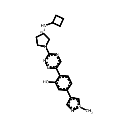 Cn1cc(-c2ccc(-c3cnc(N4CC[C@H](NC5CCC5)C4)nn3)c(O)c2)cn1